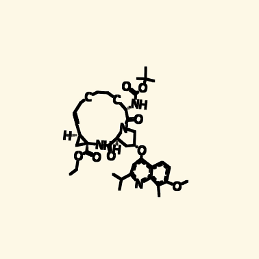 CCOC(=O)[C@@]12C[C@H]1/C=C\CCCCC[C@H](NC(=O)OC(C)(C)C)C(=O)N1C[C@H](Oc3cc(C(C)C)nc4c(C)c(OC)ccc34)C[C@H]1C(=O)N2